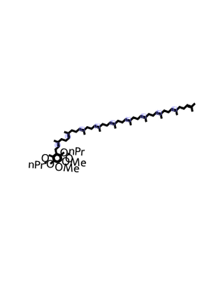 CCCC(=O)Oc1c(C)c(C/C=C(\C)CC/C=C(\C)CC/C=C(\C)CC/C=C(\C)CC/C=C(\C)CC/C=C(\C)CC/C=C(\C)CC/C=C(\C)CC/C=C(\C)CCC=C(C)C)c(OC(=O)CCC)c(OC)c1OC